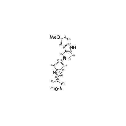 COc1ccc2[nH]c3c(c2c1)CN(c1ccc2nc(N4CCOCC4)sc2c1)CC3